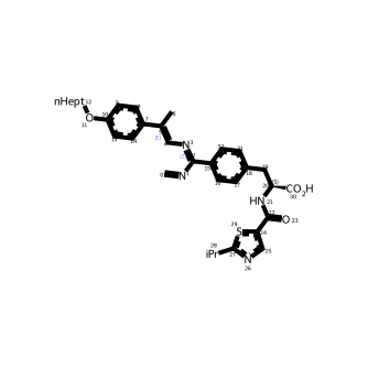 C=N/C(=N\C=C(/C)c1ccc(OCCCCCCC)cc1)c1ccc(C[C@H](NC(=O)c2cnc(C(C)C)s2)C(=O)O)cc1